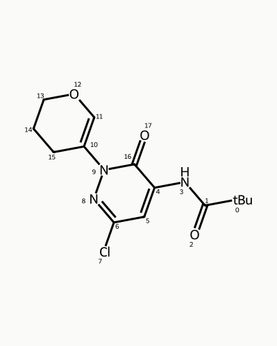 CC(C)(C)C(=O)Nc1cc(Cl)nn(C2=COCCC2)c1=O